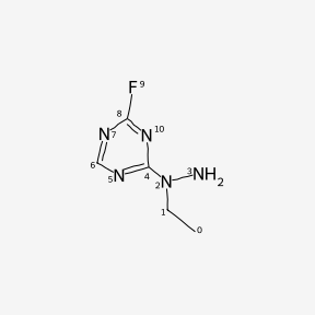 CCN(N)c1ncnc(F)n1